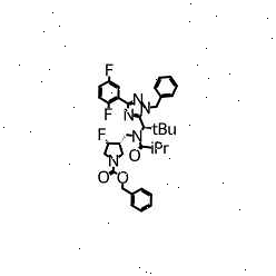 CC(C)C(=O)N(C[C@@H]1CN(C(=O)OCc2ccccc2)C[C@@H]1F)[C@@H](c1nc(-c2cc(F)ccc2F)nn1Cc1ccccc1)C(C)(C)C